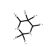 FC1OC(F)(F)OC(F)C1(F)F